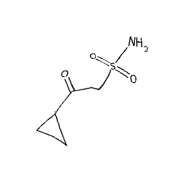 NS(=O)(=O)CC(=O)[C]1CC1